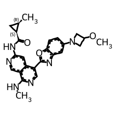 CNc1ncc(-c2nc3cc(N4CC(OC)C4)ccc3o2)c2cc(NC(=O)[C@H]3C[C@H]3C)ncc12